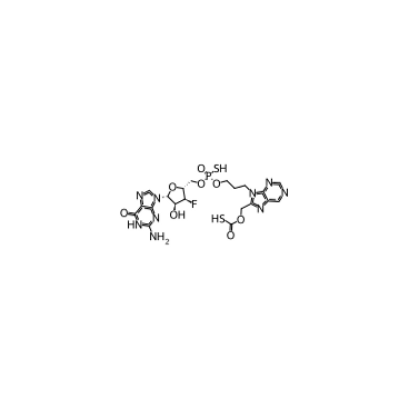 Nc1nc2c(ncn2[C@@H]2O[C@H](COP(=O)(S)OCCCn3c(COC(=O)S)nc4cncnc43)[C@@H](F)[C@H]2O)c(=O)[nH]1